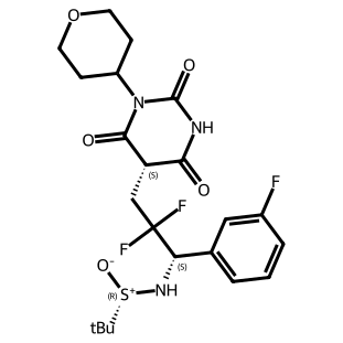 CC(C)(C)[S@+]([O-])N[C@@H](c1cccc(F)c1)C(F)(F)C[C@H]1C(=O)NC(=O)N(C2CCOCC2)C1=O